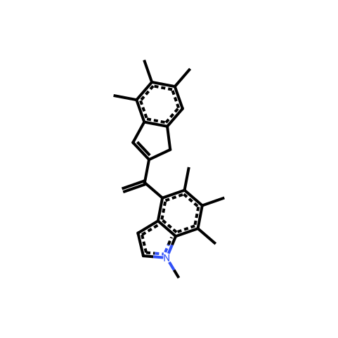 C=C(C1=Cc2c(cc(C)c(C)c2C)C1)c1c(C)c(C)c(C)c2c1ccn2C